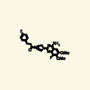 COc1cc2c(N)nc(N3C=C4C(C3)N4C(=O)CCc3ccc(F)cc3)nc2c(F)c1OC